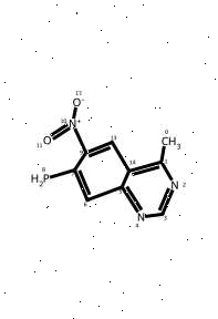 Cc1ncnc2cc(P)c([N+](=O)[O-])cc12